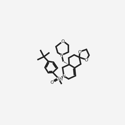 CC(C)(C)c1ccc([SH](C)(=O)N2CC=C3CC4(CC[C@]3(CN3CCOCC3)C2)OCCO4)cc1